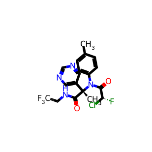 Cc1ccc(N(C(=O)[C@H](F)Cl)[C@](C)(C(=O)NCC(F)(F)F)c2cncnc2)cc1